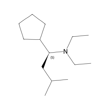 CCN(CC)[C@@H](CC(C)C)C1CCCC1